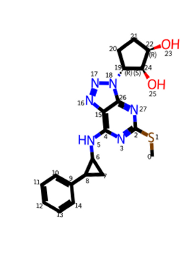 CSc1nc(NC2CC2c2ccccc2)c2nnn([C@@H]3CC[C@@H](O)[C@H]3O)c2n1